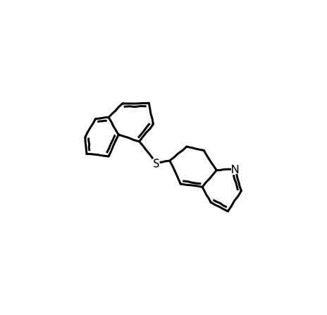 C1=CC2=CC(Sc3cccc4ccccc34)CCC2N=C1